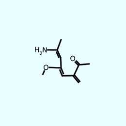 C=C(/C=C(\C=C(\C)N)OC)C(C)=O